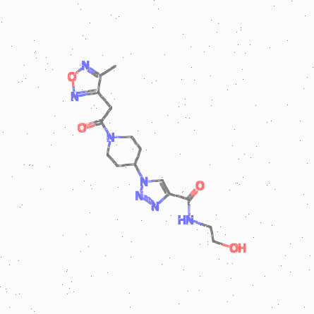 Cc1nonc1CC(=O)N1CCC(n2cc(C(=O)NCCO)nn2)CC1